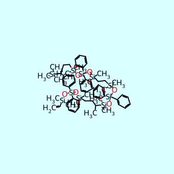 C=C[Si](C)(C)O[Si](O[Si](C)(C)CCC(C)[Si](C)(C)O[Si](O[Si](C)(C)CC[Si](C)(C)O[Si](O[Si](C)(C)CCC(C)[Si](C)(C)C)(c1ccccc1)c1ccccc1)(c1ccccc1)c1ccccc1)(c1ccccc1)c1ccccc1